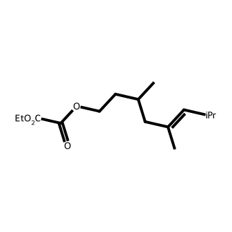 CCOC(=O)C(=O)OCCC(C)CC(C)=CC(C)C